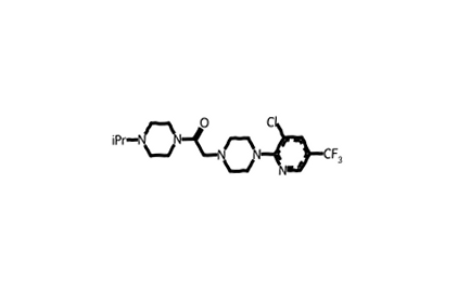 CC(C)N1CCN(C(=O)CN2CCN(c3ncc(C(F)(F)F)cc3Cl)CC2)CC1